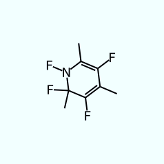 CC1=C(F)C(C)(F)N(F)C(C)=C1F